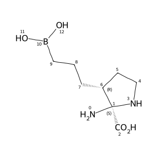 N[C@]1(C(=O)O)NCC[C@H]1CCCB(O)O